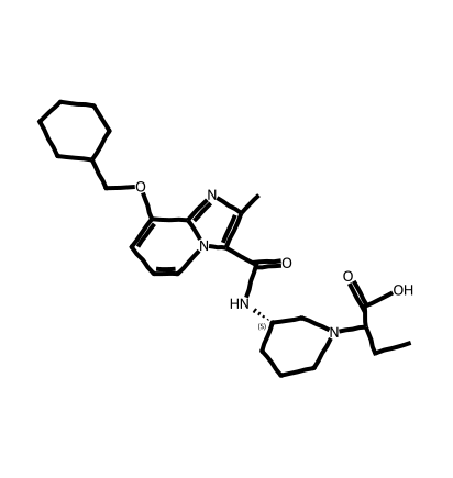 CCC(C(=O)O)N1CCC[C@H](NC(=O)c2c(C)nc3c(OCC4CCCCC4)cccn23)C1